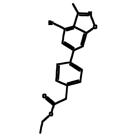 CCOC(=O)Cc1ccc(-c2cc(Br)c3c(C)noc3c2)cc1